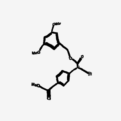 CCN(C(=O)OCc1cc(OC)cc(OC)c1)c1ccc(C(=O)OC)cc1